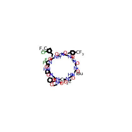 CC[C@H](C)[C@@H]1NC(=O)[C@H](CC(F)(F)F)N(C)C(=O)C[C@@H](C(=O)N2CCOCC2)N(C)C(=O)[C@H](C2CCCCC2)N(C)C(=O)C2(CCCC2)NC(=O)[C@@H]2CC(F)(F)CN2C(=O)[C@H](CCc2ccc(C(F)(F)F)c(Cl)c2)NC(=O)CN(C)C(=O)[C@H](Cc2ccc(C(F)(F)F)cc2)N(C)C(=O)CN(C)C(=O)CN(C)C1=O